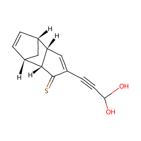 OC(O)C#CC1=C[C@@H]2[C@H](C1=S)[C@@H]1C=C[C@H]2C1